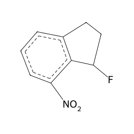 O=[N+]([O-])c1cccc2c1C(F)CC2